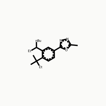 CCCCC(CC)c1cc(-c2nnc(C)o2)ccc1C(C)(C)CC